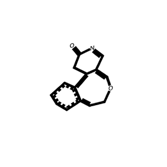 O=C1CC2=c3ccccc3=CCOC=C2C=N1